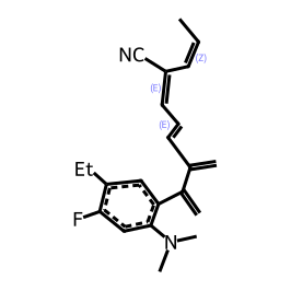 C=C(/C=C/C=C(C#N)\C=C/C)C(=C)c1cc(CC)c(F)cc1N(C)C